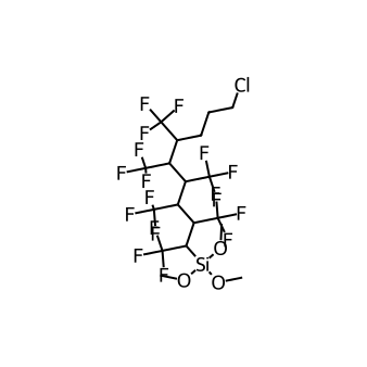 CO[Si](OC)(OC)C(C(C(C(C(C(CCCCl)C(F)(F)F)C(F)(F)F)C(F)(F)F)C(F)(F)F)C(F)(F)F)C(F)(F)F